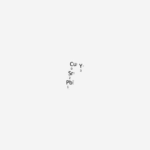 [Cu].[Pb].[Sr].[Y]